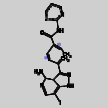 C=C(/C=C\C(=C/C)C(=O)Nc1ccccn1)C1=NNC2=C(I)C=NC(N)C12